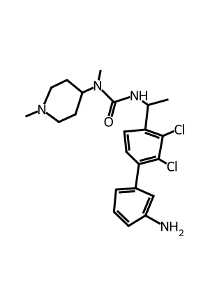 CC(NC(=O)N(C)C1CCN(C)CC1)c1ccc(-c2cccc(N)c2)c(Cl)c1Cl